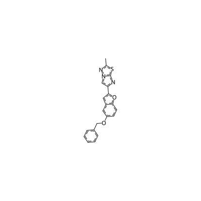 Cc1nn2cc(-c3cc4cc(OCc5ccccc5)ccc4o3)nc2s1